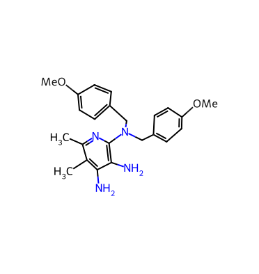 COc1ccc(CN(Cc2ccc(OC)cc2)c2nc(C)c(C)c(N)c2N)cc1